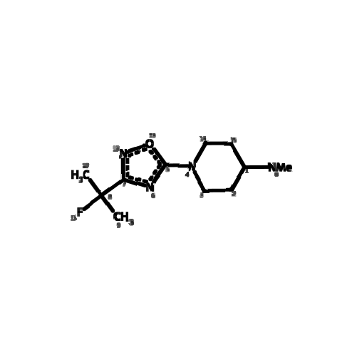 CNC1CCN(c2nc(C(C)(C)F)no2)CC1